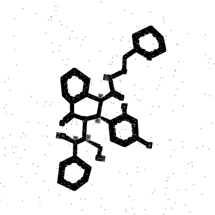 O=C(NOCc1ccccn1)[C@@H]1c2ccccc2C(=O)N([C@H](CO)[C@H](O)c2ccccc2)[C@H]1c1ccc(Cl)cc1Cl